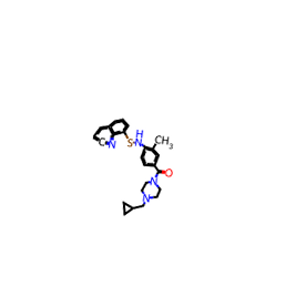 Cc1cc(C(=O)N2CCN(CC3CC3)CC2)ccc1NSc1cccc2cccnc12